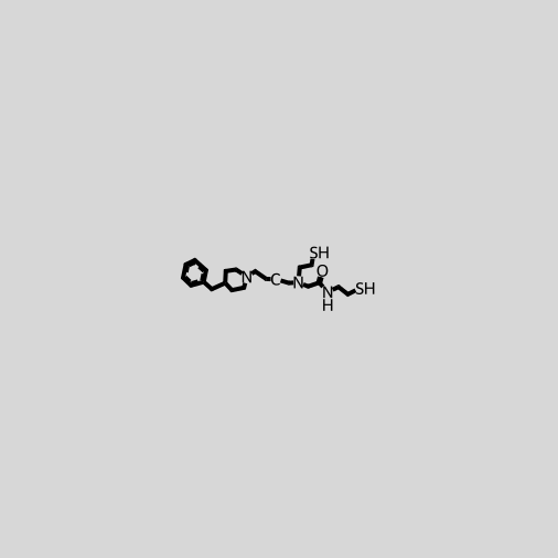 O=C(CN(CCS)CCCCN1CCC(Cc2ccccc2)CC1)NCCS